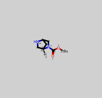 CC(C)(C)OC(=O)N1C[C]2C[C@H]1CN2